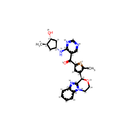 Cc1sc(C(=O)c2cncnc2N[C@@H]2C[C@@H](C)[C@H](O)C2)cc1[C@H]1OCCn2c1nc1ccccc12